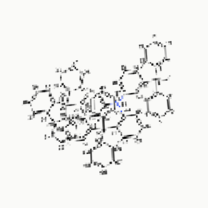 CC1(c2ccccc2)c2ccccc2-c2ccc(N(c3ccc(C4(c5ccccc5)c5ccccc5-c5ccccc54)cc3)c3cccc4c3C(c3ccccc3)(c3ccccc3)c3ccccc3-4)cc21